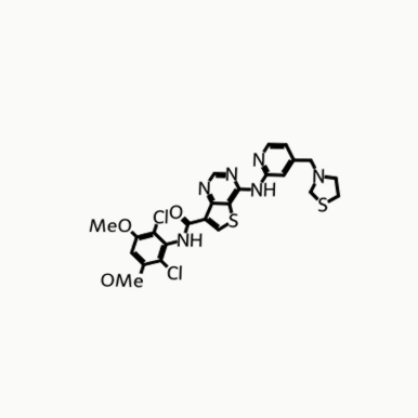 COc1cc(OC)c(Cl)c(NC(=O)c2csc3c(Nc4cc(CN5CCSC5)ccn4)ncnc23)c1Cl